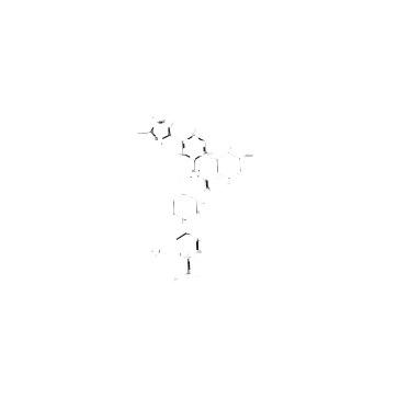 C=C(/C=C\C(OC)=C(C)C)[C@H]1CC[C@H](CN(c2cccc(-c3nc(C)no3)c2)C(=O)[C@H]2CC[C@H](O)CC2)CC1